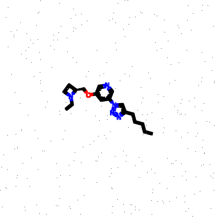 CCCCCc1cn(-c2cncc(OC[C@@H]3CCN3CC)c2)nn1